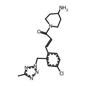 Cc1nnn(Cc2cc(Cl)ccc2C=CC(=O)N2CCC(N)CC2)n1